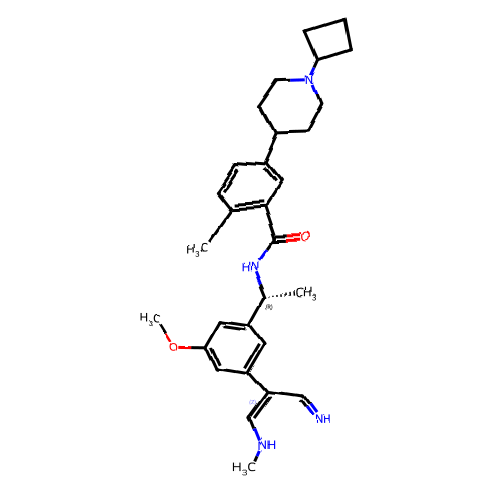 CN/C=C(\C=N)c1cc(OC)cc([C@@H](C)NC(=O)c2cc(C3CCN(C4CCC4)CC3)ccc2C)c1